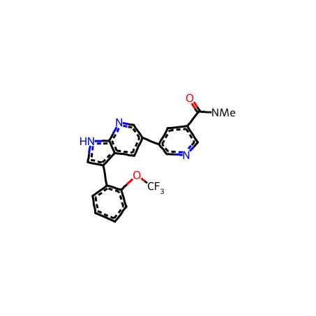 CNC(=O)c1cncc(-c2cnc3[nH]cc(-c4ccccc4OC(F)(F)F)c3c2)c1